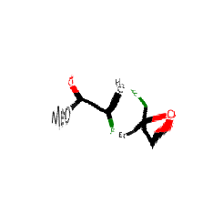 C=C(F)C(=O)OC.CCC1(F)CO1